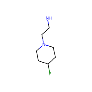 [NH]CCN1CCC(F)CC1